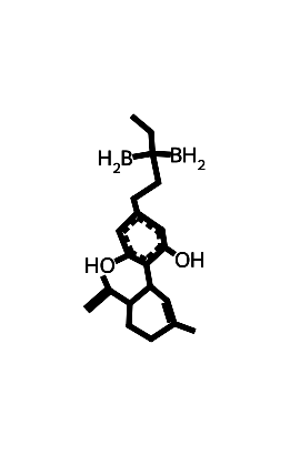 BC(B)(CC)CCc1cc(O)c(C2C=C(C)CCC2C(=C)C)c(O)c1